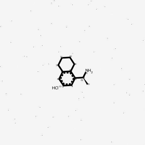 C[C@H](N)c1cccc2c1CCCC2.Cl